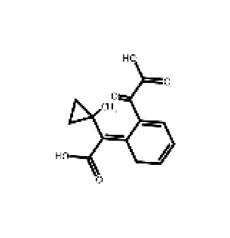 CC1(C(C(=O)O)=C2CC=CC=C2C(=O)C(=O)O)CC1